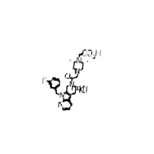 C[C@@H]1CN(CC(=O)N2CCc3c(n(Cc4cccc(F)c4)c4ncccc34)C2)C[C@H](C)N1CC(=O)O.Cl.Cl